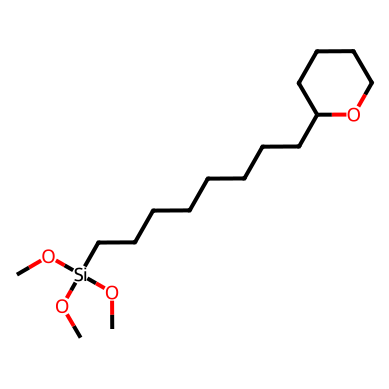 CO[Si](CCCCCCCCC1CCCCO1)(OC)OC